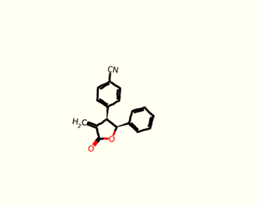 C=C1C(=O)O[C@H](c2ccccc2)[C@@H]1c1ccc(C#N)cc1